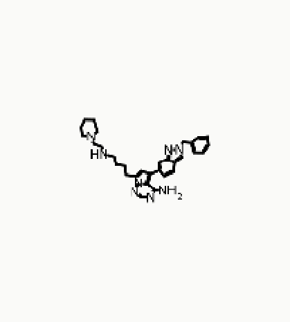 Nc1ncnn2c(CCCCNCCN3CCCCC3)cc(-c3ccc4cn(Cc5ccccc5)nc4c3)c12